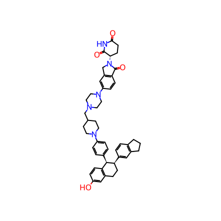 O=C1CC[C@H](N2Cc3cc(N4CCN(CC5CCN(c6ccc([C@@H]7c8ccc(O)cc8CC[C@@H]7c7ccc8c(c7)CCC8)cc6)CC5)CC4)ccc3C2=O)C(=O)N1